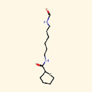 O=CNCCCCCCNC(=O)C1CCCCC1